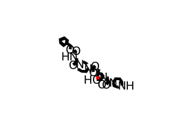 CC(C)(CN(CC(=O)N1CCCNCC1)C(=O)O)OC(=O)N1CCCN(C(=O)CNC(=O)OCc2ccccc2)CC1